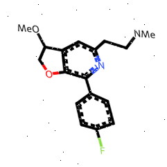 CNCCc1cc2c(c(-c3ccc(F)cc3)n1)OCC2OC